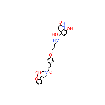 O=C(CCc1ccc(OCCCCCNC[C@H](O)c2ccc(O)c3[nH]c(=O)ccc23)cc1)N1CCC(C(=O)O)(c2ccccc2)CC1